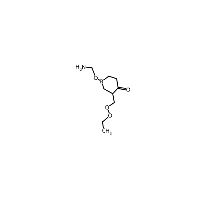 CCOOCC1CB(OCN)CCC1=O